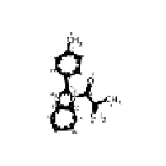 C=C(C)C(=O)n1c(-c2ccc(C)cc2)nc2ccccc21